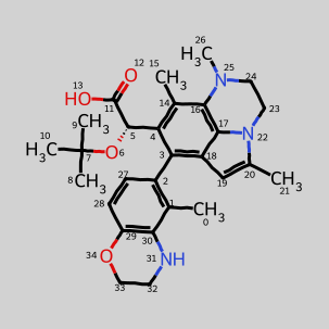 Cc1c(-c2c([C@H](OC(C)(C)C)C(=O)O)c(C)c3c4c2cc(C)n4CCN3C)ccc2c1NCCO2